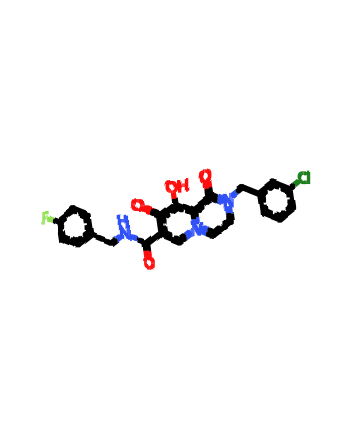 O=C(NCc1ccc(F)cc1)c1cn2ccn(Cc3cccc(Cl)c3)c(=O)c2c(O)c1=O